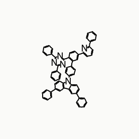 c1ccc(-c2ccc3c(c2)c2cc(-c4ccccc4)ccc2n3-c2ccc(-c3cc(-c4cccc(-c5ccccc5)n4)ccc3-c3nc(-c4ccccc4)nc(-c4ccccc4)n3)cc2)cc1